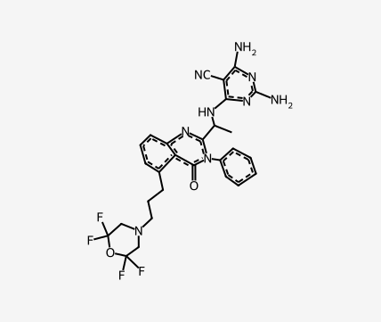 CC(Nc1nc(N)nc(N)c1C#N)c1nc2cccc(CCCN3CC(F)(F)OC(F)(F)C3)c2c(=O)n1-c1ccccc1